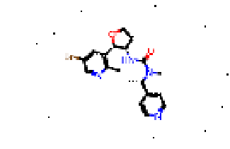 Cc1ncc(Br)cc1[C@H]1OCC[C@@H]1NC(=O)N(C)[C@@H](C)c1ccncc1